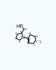 C[C@@H]1CC=C(N2CCCC2CO)CC1